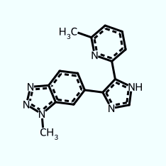 Cc1cccc(-c2[nH]cnc2-c2ccc3nnn(C)c3c2)n1